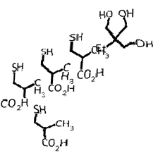 CC(CS)C(=O)O.CC(CS)C(=O)O.CC(CS)C(=O)O.CC(CS)C(=O)O.CCC(CO)(CO)CO